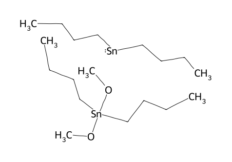 CCC[CH2][Sn]([CH2]CCC)([O]C)[O]C.CCC[CH2][Sn][CH2]CCC